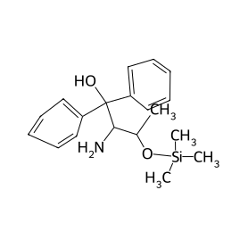 CC(O[Si](C)(C)C)C(N)C(O)(c1ccccc1)c1ccccc1